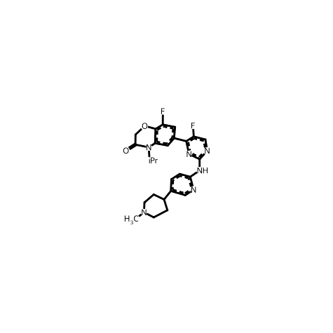 CC(C)N1C(=O)COc2c(F)cc(-c3nc(Nc4ccc(C5CCN(C)CC5)cn4)ncc3F)cc21